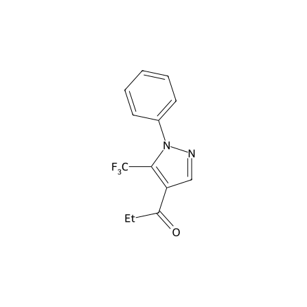 CCC(=O)c1cnn(-c2ccccc2)c1C(F)(F)F